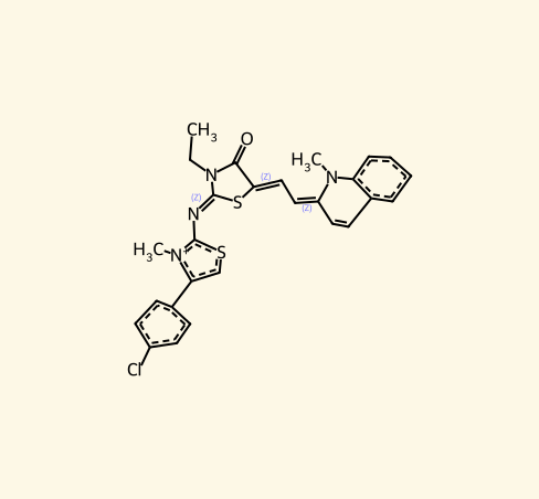 CCN1C(=O)/C(=C/C=C2/C=Cc3ccccc3N2C)S/C1=N\c1scc(-c2ccc(Cl)cc2)[n+]1C